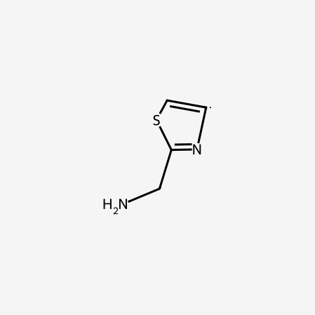 NCc1n[c]cs1